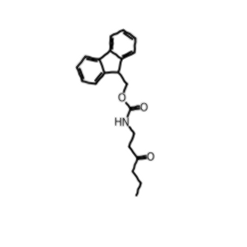 CCCC(=O)CCNC(=O)OCC1c2ccccc2-c2ccccc21